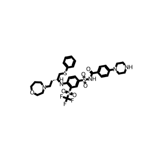 O=C(NS(=O)(=O)c1ccc(N[C@H](CCN2CCCOCC2)CSc2ccccc2)c(S(=O)(=O)C(F)(F)F)c1)c1ccc(N2CCNCC2)cc1